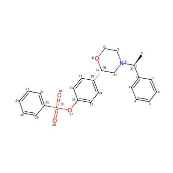 C[C@@H](c1ccccc1)N1CCO[C@@H](c2ccc(OS(=O)(=O)c3ccccc3)cc2)C1